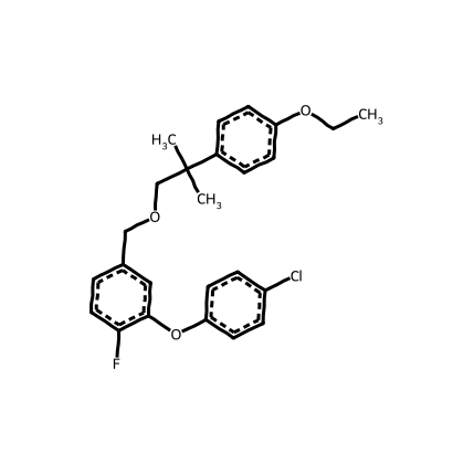 CCOc1ccc(C(C)(C)COCc2ccc(F)c(Oc3ccc(Cl)cc3)c2)cc1